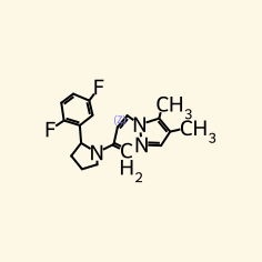 C=C(/C=C\n1ncc(C)c1C)N1CCCC1c1cc(F)ccc1F